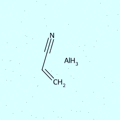 C=CC#N.[AlH3]